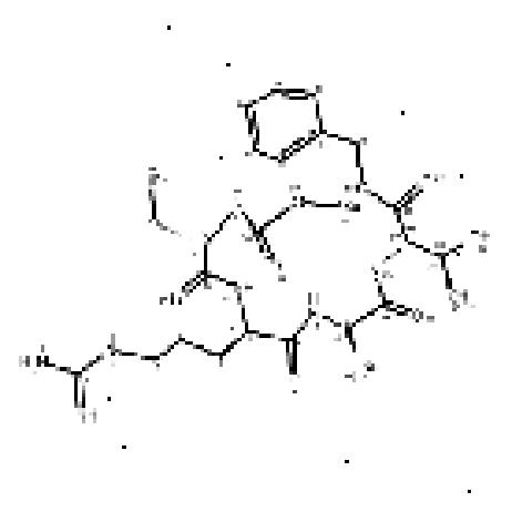 CC[C@H](C)[C@H](NC(=O)[C@@H](CCCNC(=N)N)NC(=O)[C@H](CC(C)C)NC(=O)OC(C)(C)C)C(=O)N[C@H](C(=O)OCc1ccccc1)[C@H](C)O